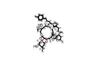 CC[C@H]1OC(=O)[C@H](C)[C@@H](O[C@H]2C[C@@](C)(OC)[C@@H](O)[C@H](C)O2)[C@H](C)[C@@H](O[C@@H]2O[C@H](C)C[C@H](N(C)CCc3cn(CCCCc4ccc(C)cc4)nn3)[C@H]2O)[C@](C)(O)C[C@@H](C)CN(C)[C@H](C)[C@@H](O)[C@]1(C)O